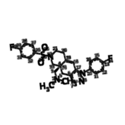 CN(C)C[C@]12Cc3cnn(-c4ccc(F)cc4)c3C=C1CCN(S(=O)(=O)c1ccc(F)cc1)C2